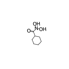 O=C(C1CCCCC1)N(O)O